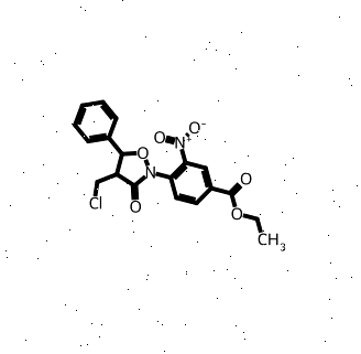 CCOC(=O)c1ccc(N2OC(c3ccccc3)C(CCl)C2=O)c([N+](=O)[O-])c1